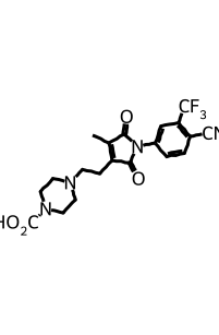 CC1=C(CCN2CCN(C(=O)O)CC2)C(=O)N(c2ccc(C#N)c(C(F)(F)F)c2)C1=O